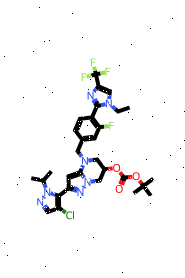 CCn1cc(C(F)(F)F)nc1-c1ccc(CN2CC(OC(=O)OC(C)(C)C)Cn3nc(-c4c(Cl)cnn4C(C)C)cc32)cc1F